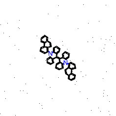 c1ccc2c(c1)C(=C1c3ccccc3N(c3cccc4c3ccc3ccccc34)c3ccccc31)c1ccccc1N2c1cccc2c1ccc1ccccc12